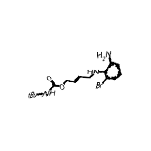 CC(C)(C)NC(=O)OC/C=C/CNc1c(N)cccc1Br